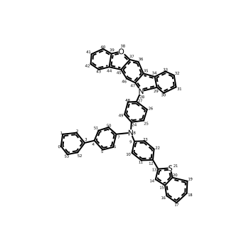 c1ccc(-c2ccc(N(c3ccc(-c4cc5ccccc5s4)cc3)c3ccc(-n4c5ccccc5c5cc6oc7ccccc7c6cc54)cc3)cc2)cc1